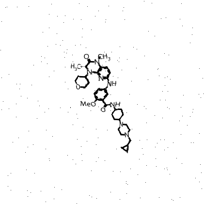 COc1ccc(Nc2ccc3c(n2)N(C2CCOCC2)[C@H](C)C(=O)N3C)cc1C(=O)NC1CCC(N2CCN(CC3CC3)CC2)CC1